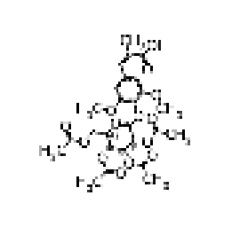 COc1cc(C=C(C)C(=O)O)cc(OC)c1O[C@@H]1O[C@H](COC(C)=O)[C@@H](OC(C)=O)[C@H](OC(C)=O)[C@H]1OC(C)=O